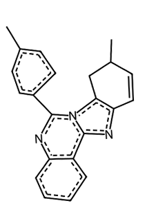 Cc1ccc(-c2nc3ccccc3c3nc4c(n23)CC(C)C=C4)cc1